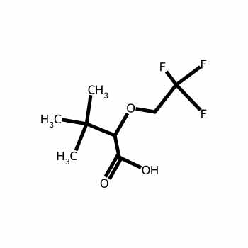 CC(C)(C)C(OCC(F)(F)F)C(=O)O